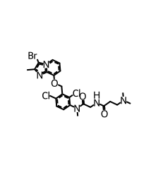 Cc1nc2c(OCc3c(Cl)ccc(N(C)C(=O)CNC(=O)CCN(C)C)c3Cl)cccn2c1Br